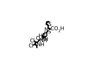 Cc1[nH]c(C(=O)N[C@H]2[C@@H]3CN(c4nc(-c5cccs5)c(C(=O)O)s4)C[C@@H]32)c(Cl)c1Cl